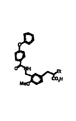 CCC(Cc1ccc(OC)c(CNC(=O)c2ccc(Oc3ccccc3)cc2)c1)C(=O)O